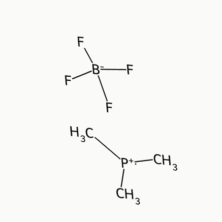 C[P+](C)C.F[B-](F)(F)F